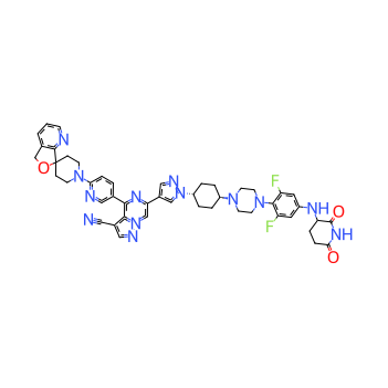 N#Cc1cnn2cc(-c3cnn([C@H]4CC[C@H](N5CCN(c6c(F)cc(NC7CCC(=O)NC7=O)cc6F)CC5)CC4)c3)nc(-c3ccc(N4CCC5(CC4)OCc4cccnc45)nc3)c12